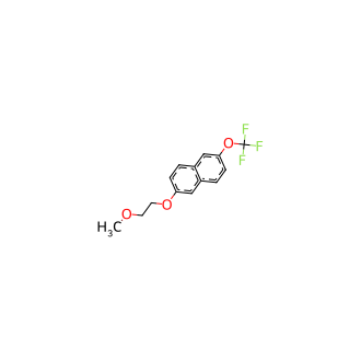 COCCOc1ccc2cc(OC(F)(F)F)ccc2c1